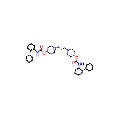 O=C(Nc1ccccc1-c1ccccc1)OC1CCN(CCCN2CCC(OC(=O)Nc3ccccc3-c3ccccc3)CC2)CC1